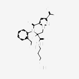 CCc1ccccc1N1C(=O)c2cc(C(=O)O)nn2CC1(C)C(=O)NCCCOC